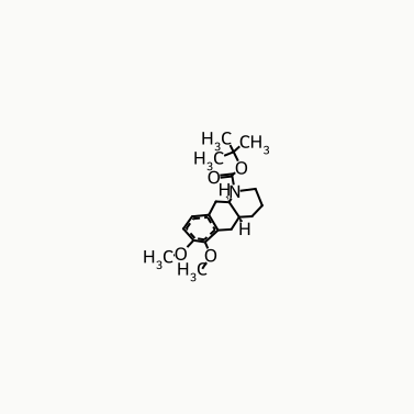 COc1ccc2c(c1OC)C[C@H]1CCCN(C(=O)OC(C)(C)C)[C@@H]1C2